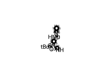 CC(C)(C)OC(=O)N(c1ccc(NC(=O)n2cc3ccccc3c2)cc1)C1CCNC1